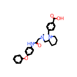 CN(CC(=O)Nc1ccc(Oc2ccccc2)cc1)CC1CCCCN1Cc1ccc(C(=O)O)cc1